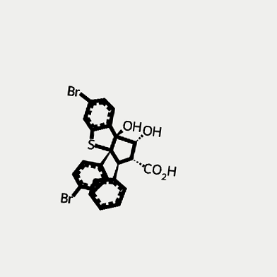 O=C(O)[C@H]1[C@@H](O)[C@@]2(O)c3ccc(Br)cc3S[C@@]2(c2ccc(Br)cc2)[C@@H]1c1ccccc1